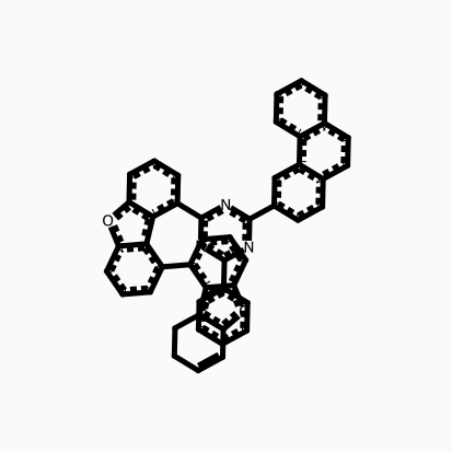 C1=Cc2oc3cccc(-c4cccc5oc6cccc(-c7nc(-c8ccccc8)nc(-c8ccc9ccc%10ccccc%10c9c8)n7)c6c45)c3c2CC1